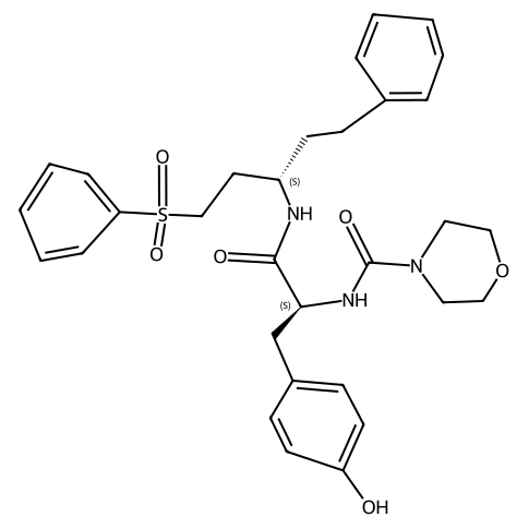 O=C(N[C@@H](CCc1ccccc1)CCS(=O)(=O)c1ccccc1)[C@H](Cc1ccc(O)cc1)NC(=O)N1CCOCC1